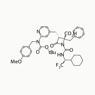 COc1ccc(CN(C(=O)OC(C)(C)C)c2cc(C[C@H]3C(=O)N(C(=O)N[C@@H](C4CCCCC4)C(F)(F)F)[C@]3(Cc3ccccc3)C(=O)O)ccn2)cc1